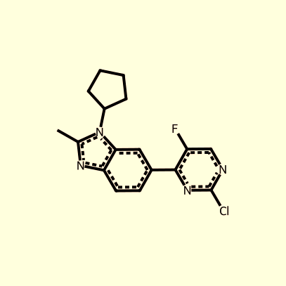 Cc1nc2ccc(-c3nc(Cl)ncc3F)cc2n1C1CCCC1